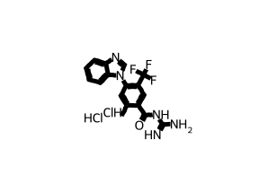 Cc1cc(-n2cnc3ccccc32)c(C(F)(F)F)cc1C(=O)NC(=N)N.Cl.Cl